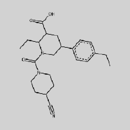 CCc1ccc(C2CC(C(=O)O)C(CC)N(C(=O)N3CCC(C#N)CC3)C2)cc1